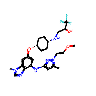 COCCn1nc(Nc2cc(O[C@H]3CC[C@@H](NCC(O)C(F)(F)F)CC3)cc3c2ncn3C)cc1C